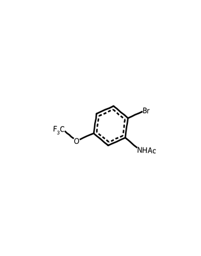 CC(=O)Nc1cc(OC(F)(F)F)ccc1Br